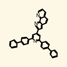 c1ccc(-c2ccc(-c3cc(-c4cnc5c(ccc6cccnc65)c4)cc(-c4ccc(-c5ccccc5)cc4)n3)cc2)cc1